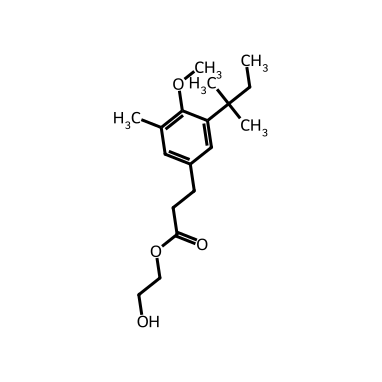 CCC(C)(C)c1cc(CCC(=O)OCCO)cc(C)c1OC